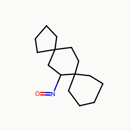 O=NC1CC2(CCCC2)CCC12CCCCC2